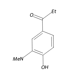 CCC(=O)c1ccc(O)c(NC)c1